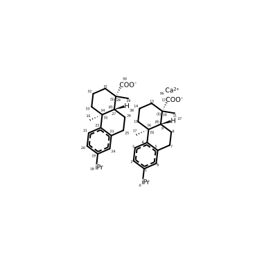 CC(C)c1ccc2c(c1)CC[C@H]1[C@@](C)(C(=O)[O-])CCC[C@]21C.CC(C)c1ccc2c(c1)CC[C@H]1[C@@](C)(C(=O)[O-])CCC[C@]21C.[Ca+2]